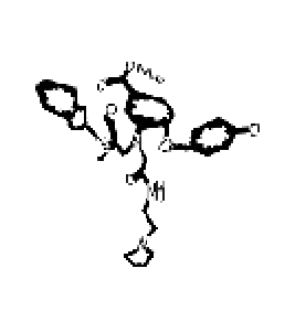 COC(=O)c1ccc(Oc2ccc(Cl)cc2)c(N(CC(=O)NCCN2CCCC2)CC(=O)N(C)C2Cc3ccccc3C2)c1